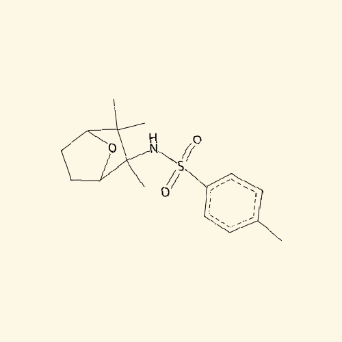 Cc1ccc(S(=O)(=O)NC2(C)C3CCC(O3)C2(C)C)cc1